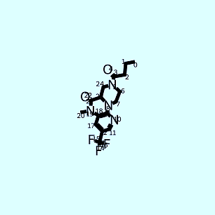 CCCC(=O)N1CCN2c3ncc(C(F)(F)F)cc3N(C)C(=O)C2C1